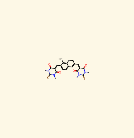 CN1C(=O)C(=Cc2ccc3c(C#N)c(C=C4C(=O)N(C)C(=S)N(C)C4=O)ccc3c2)C(=O)N(C)C1=S